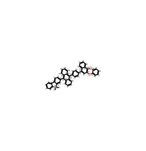 C[Si]1(C)c2ccccc2-c2ccc(-c3c4ccccc4c(-c4ccc(-c5cc6c(c7ccccc57)Oc5ccccc5O6)cc4)c4ccccc34)cc21